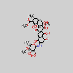 COC(=O)c1c(C)cc2c(c1O)[C@]1(O)C(=O)c3cc4c(c(O)c3C(=O)[C@]1(OC)C(O)C2)C(=O)C=C(N[C@H]1O[C@@H](C)[C@H](OC)[C@@H](O)[C@H]1CO)C4=O